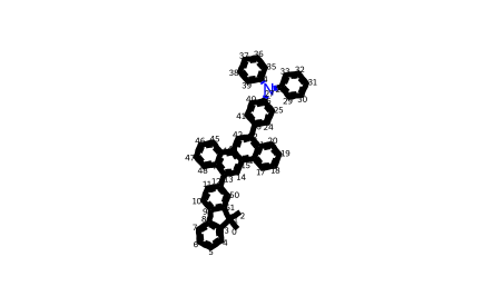 CC1(C)c2ccccc2-c2ccc(-c3cc4c5ccccc5c(-c5ccc(N(c6ccccc6)c6ccccc6)cc5)cc4c4ccccc34)cc21